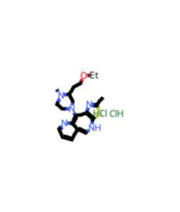 CCOCCC1CN(C2=c3ncccc3=CNc3sc(C)nc32)CCN1C.Cl.Cl